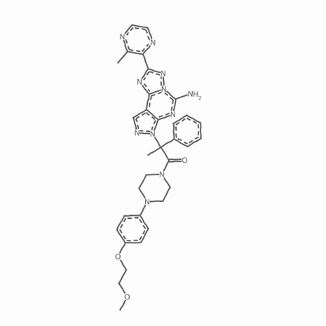 COCCOc1ccc(N2CCN(C(=O)C(C)(c3ccccc3)n3ncc4c3nc(N)n3nc(-c5nccnc5C)nc43)CC2)cc1